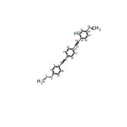 CCCc1ccc(C#Cc2ccc(C#Cc3ccc(CC)cc3F)cc2)cc1